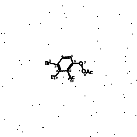 CCc1c(Br)ccc(OOC(C)=O)c1C(C)=O